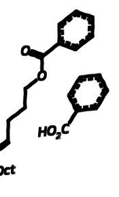 CCCCCCCCN=CCCCOC(=O)c1ccccc1.O=C(O)c1ccccc1